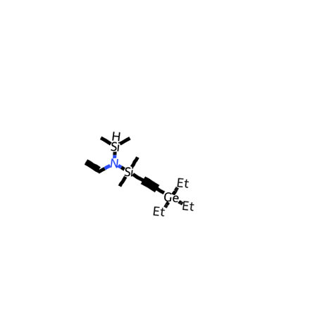 C=CN([SiH](C)C)[Si](C)(C)C#[C][Ge]([CH2]C)([CH2]C)[CH2]C